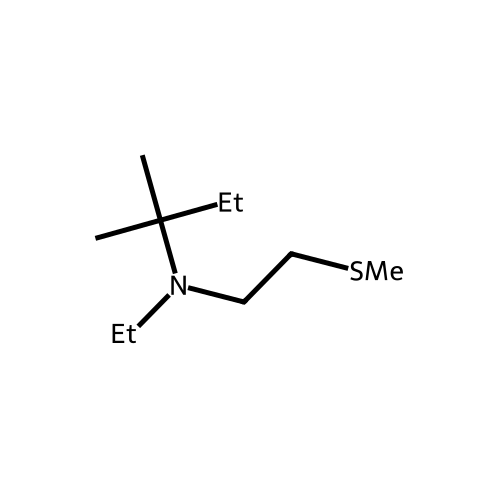 CCN(CCSC)C(C)(C)CC